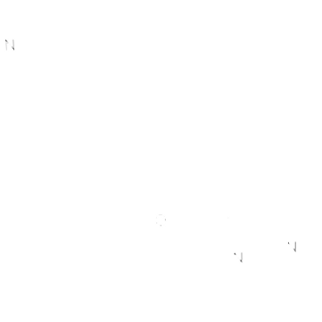 Cn1cncc1C(=O)Cc1ccc(C#N)cc1